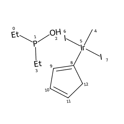 CCP(O)CC.[CH3][Ir]([I])([I])[C]1=CC=CC1